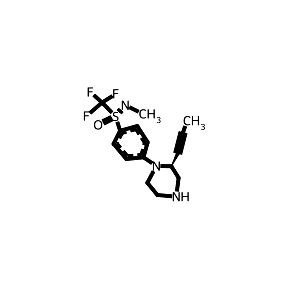 CC#C[C@H]1CNCCN1c1ccc(S(=O)(=NC)C(F)(F)F)cc1